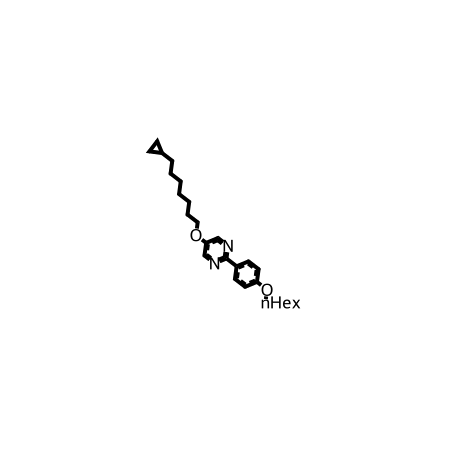 CCCCCCOc1ccc(-c2ncc(OCCCCCCCC3CC3)cn2)cc1